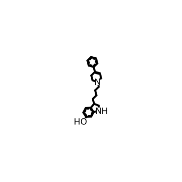 Oc1ccc2c(c1)NCC2CCCCN1CC=C(c2ccccc2)CC1